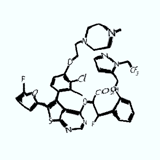 Cc1c(-c2c(-c3ccc(F)o3)sc3ncnc(OC(C(=O)O)C(F)c4ccccc4OCc4ccnn4CC(F)(F)F)c23)ccc(OCCN2CCN(C)CC2)c1Cl